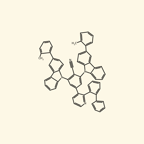 Cc1ccccc1-c1ccc2c(c1)c1ccccc1n2-c1cc(-c2cccnc2-c2ccccc2-c2ccccc2)cc(-n2c3ccccc3c3cc(-c4ccccc4C)ccc32)c1C#N